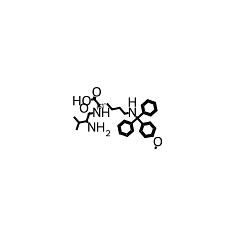 COc1ccc(C(NCCCC[C@H](NC(=O)C(N)C(C)C)C(=O)O)(c2ccccc2)c2ccccc2)cc1